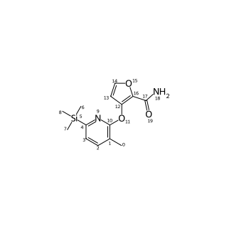 Cc1ccc([Si](C)(C)C)nc1Oc1ccoc1C(N)=O